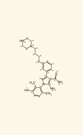 Cc1ccc(O)c(C)c1-n1nc(-c2cccc(OCCCN3CCNCC3)c2)c(C(N)=O)c1N